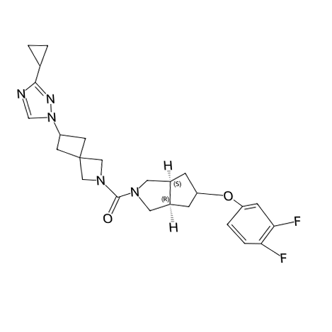 O=C(N1C[C@H]2CC(Oc3ccc(F)c(F)c3)C[C@H]2C1)N1CC2(CC(n3cnc(C4CC4)n3)C2)C1